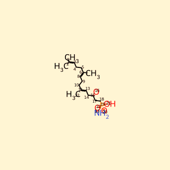 CC(C)=CCCC(C)=CCCC(C)=CCC(=O)CCP(=O)(O)ON